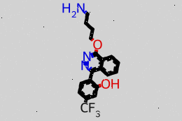 NCCCCOc1nnc(-c2ccc(C(F)(F)F)cc2O)c2ccccc12